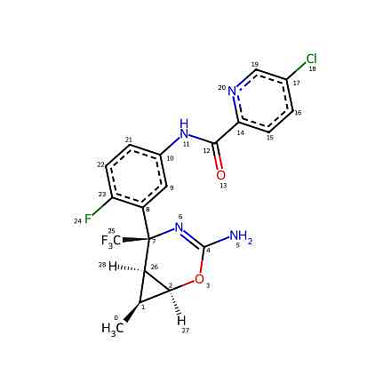 C[C@@H]1[C@@H]2OC(N)=N[C@](c3cc(NC(=O)c4ccc(Cl)cn4)ccc3F)(C(F)(F)F)[C@H]12